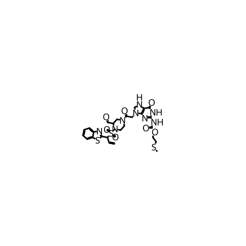 C=CC(c1nc2ccccc2s1)S(=O)(=O)N1CCN(C(=O)CN2CNc3c2nc(NC(=O)OCCSC)[nH]c3=O)CC1C=O